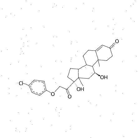 CC12CCC(=O)C=C1CCC1C2[C@@H](O)CC2(C)C1CC[C@]2(O)C(=O)COc1ccc(Cl)cc1